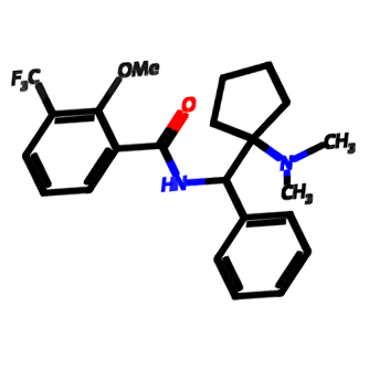 COc1c(C(=O)NC(c2ccccc2)C2(N(C)C)CCCC2)cccc1C(F)(F)F